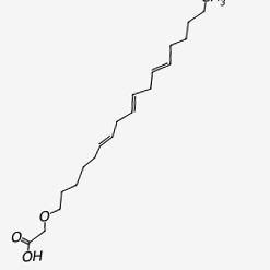 CCCCCC=CCC=CCC=CCCCCCOCC(=O)O